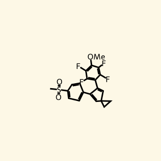 COc1c(F)c(F)c(C2=CC3(C=C2c2ccc(S(C)(=O)=O)cc2)CC3)c(F)c1F